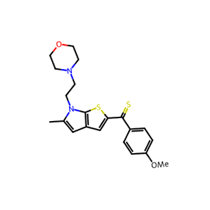 COc1ccc(C(=S)c2cc3cc(C)n(CCN4CCOCC4)c3s2)cc1